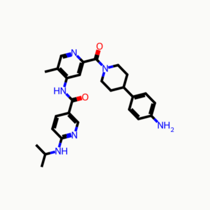 Cc1cnc(C(=O)N2CCC(c3ccc(N)cc3)CC2)cc1NC(=O)c1ccc(NC(C)C)nc1